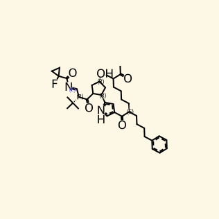 CC(=O)C(C)CCCC[C@@H](CCCCc1ccccc1)C(=O)c1c[nH]c([C@@H]2C[C@@H](O)CC2C(=O)[C@@H](/C=N/C(=O)C2(F)CC2)C(C)(C)C)c1